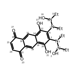 CCN(O)N(CC)c1c(N(CC)N(O)CC)c(O)c2cc3c(cc2c1O)C(=O)C=CC3=O